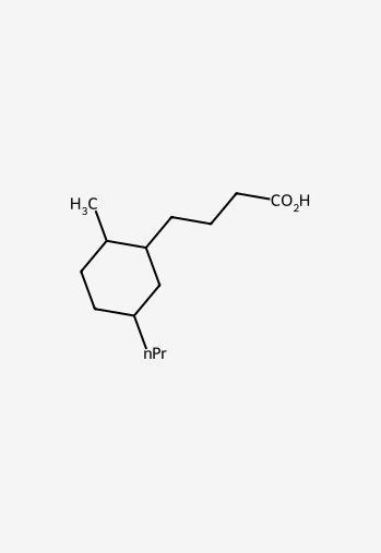 CCCC1CCC(C)C(CCCC(=O)O)C1